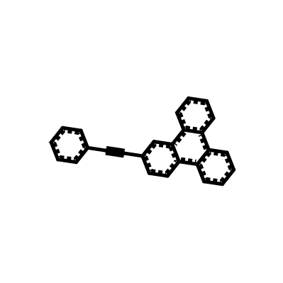 C(#Cc1ccc2c3ccccc3c3ccccc3c2c1)c1cc[c]cc1